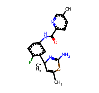 CC1=C[C@@](C)(c2cc(NC(=O)c3ccc(C#N)cn3)ccc2F)N=C(N)S1